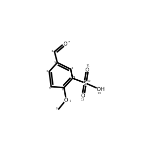 COc1ccc(C=O)cc1S(=O)(=O)O